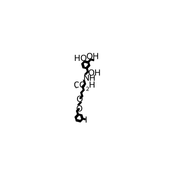 CC(=O)O.CC(O)c1cc([C@@H](O)CNCCCCCCOCCOCc2cccc(I)c2)ccc1O